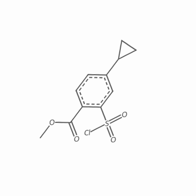 COC(=O)c1ccc(C2CC2)cc1S(=O)(=O)Cl